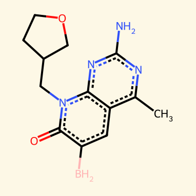 Bc1cc2c(C)nc(N)nc2n(CC2CCOC2)c1=O